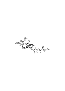 CO[C@@]1(NC(=O)Cc2cc(CNC(=O)OC(C)(C)C)cs2)C(=O)N2C(C(=O)OC(C)(C)C)=C(COC(C)=O)CS[C@@H]21